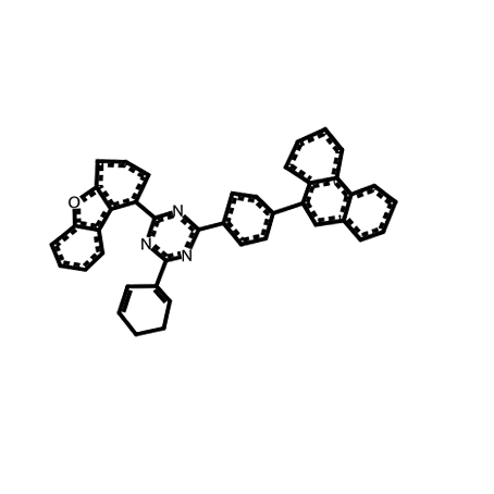 C1=CC(c2nc(-c3ccc(-c4cc5ccccc5c5ccccc45)cc3)nc(-c3cccc4oc5ccccc5c34)n2)=CCC1